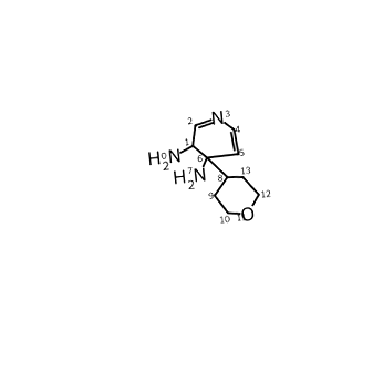 NC1C=NC=CC1(N)C1CCOCC1